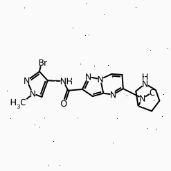 Cn1cc(NC(=O)c2cc3nc(N4CC5CCC4CN5)ccn3n2)c(Br)n1